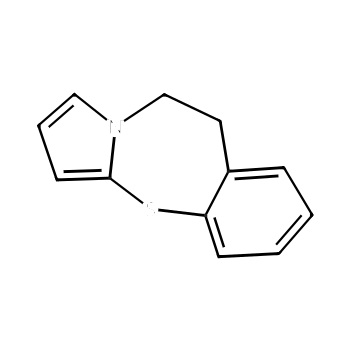 c1ccc2c(c1)CCn1cccc1S2